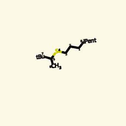 CCCC(C)CCCSC(C)C(C)(C)C